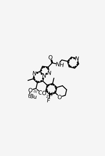 Cc1nc2cc(C(=O)NCc3cccnc3)nn2c(-c2cc(F)c3c(c2C)CCCO3)c1[C@H](OC(C)(C)C)C(=O)O